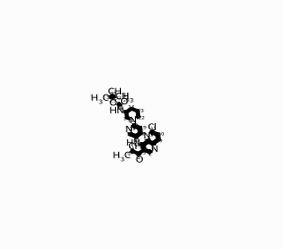 CC(C)C(=O)c1cnc2ccc(Cl)nc2c1Nc1ccc(N2CCC[C@@H](NC(=O)OC(C)(C)C)C2)nc1